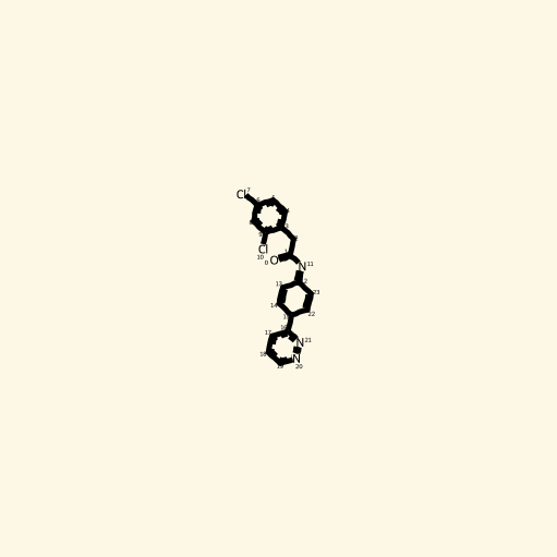 O=C(Cc1ccc(Cl)cc1Cl)N=C1C=CC(c2cccnn2)C=C1